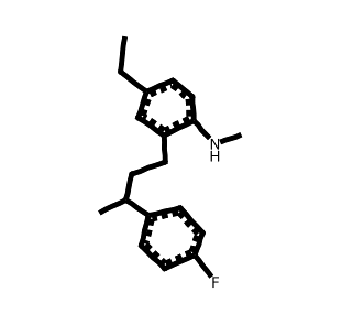 CCc1ccc(NC)c(CCC(C)c2ccc(F)cc2)c1